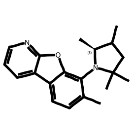 Cc1ccc2c(oc3ncccc32)c1N1[C@@H](C)C(C)CC1(C)C